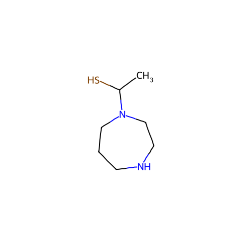 CC(S)N1CCCNCC1